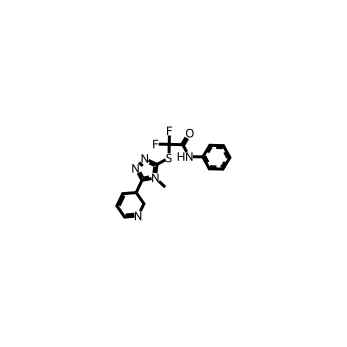 Cn1c(SC(F)(F)C(=O)Nc2ccccc2)nnc1C1C=CC=NC1